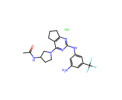 CC(=O)NC1CCN(c2nc(Nc3cc(N)cc(C(F)(F)F)c3)nc3c2CCC3)C1.Cl